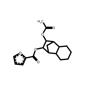 CC(=O)OC1C2CC(C3CCCCC32)C1OC(=O)c1ccco1